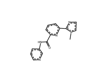 Cn1ccnc1-c1cccc(C(=O)Nc2cccnc2)n1